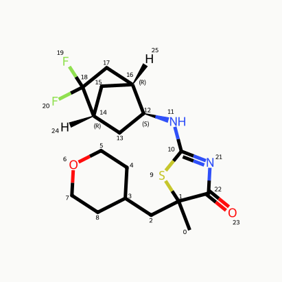 CC1(CC2CCOCC2)SC(N[C@H]2C[C@H]3C[C@@H]2CC3(F)F)=NC1=O